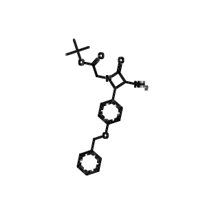 CC(C)(C)OC(=O)CN1C(=O)C(N)C1c1ccc(OCc2ccccc2)cc1